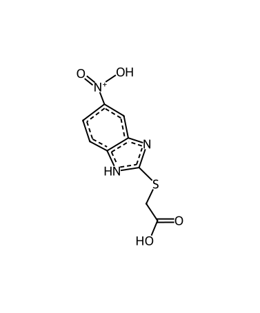 O=C(O)CSc1nc2cc([N+](=O)O)ccc2[nH]1